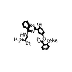 CC[C@H](N)CNc1nc(-c2cc(OC(=O)c3ccccc3OC)ccc2O)nc2ccccc12